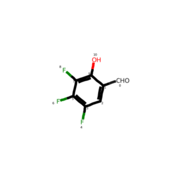 O=Cc1cc(F)c(F)c(F)c1O